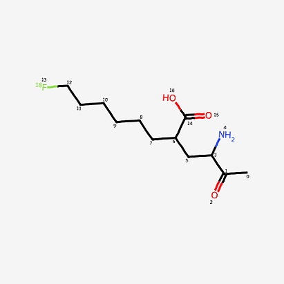 CC(=O)C(N)CC(CCCCCC[18F])C(=O)O